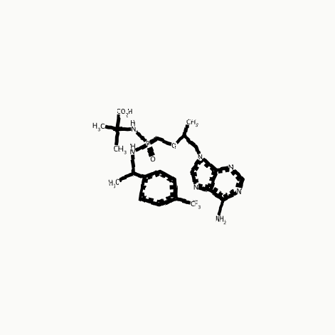 CC(Cn1cnc2c(N)ncnc21)OCP(=O)(NC(C)c1ccc(C(F)(F)F)cc1)NC(C)(C)C(=O)O